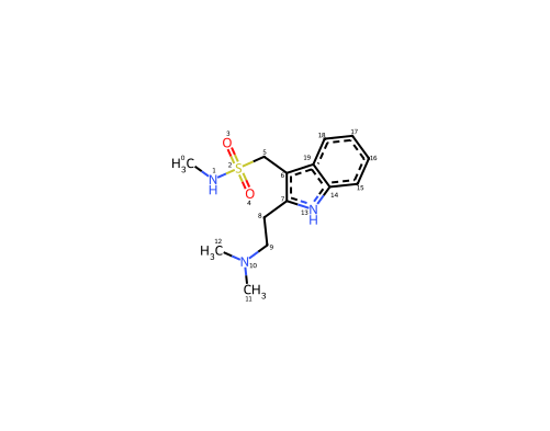 CNS(=O)(=O)Cc1c(CCN(C)C)[nH]c2ccccc12